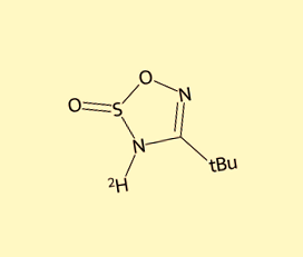 [2H]N1C(C(C)(C)C)=NOS1=O